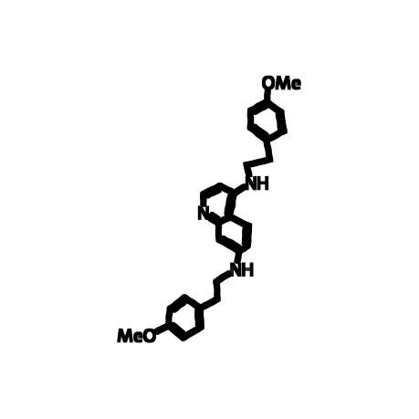 COc1ccc(CCNc2ccc3c(NCCc4ccc(OC)cc4)ccnc3c2)cc1